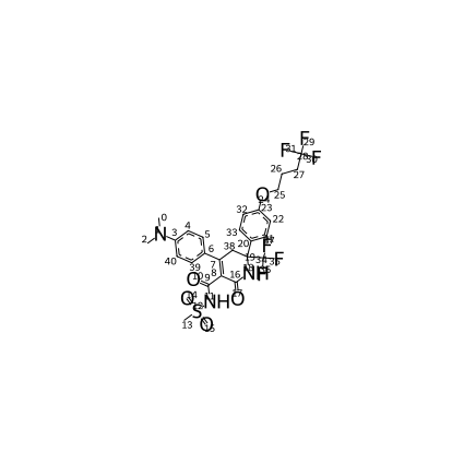 CN(C)c1ccc(C2=C(C(=O)NS(C)(=O)=O)C(=O)NC(c3ccc(OCCCC(F)(F)F)cc3)(C(F)(F)F)C2)cc1